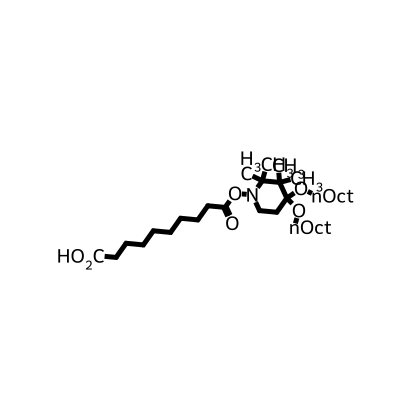 CCCCCCCCOC1(OCCCCCCCC)CCN(OC(=O)CCCCCCCCC(=O)O)C(C)(C)C1(C)C